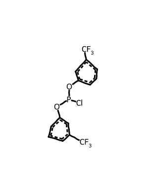 FC(F)(F)c1cccc(OP(Cl)Oc2cccc(C(F)(F)F)c2)c1